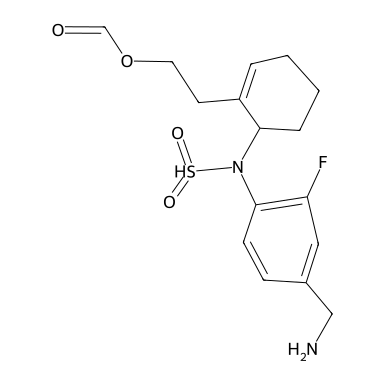 NCc1ccc(N(C2CCCC=C2CCOC=O)[SH](=O)=O)c(F)c1